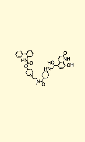 CN(CCN1CCC(OC(=O)Nc2ccccc2-c2ccccc2)CC1)C(=O)C1CCC(NCC(O)c2ccc(O)c3[nH]c(=O)ccc23)CC1